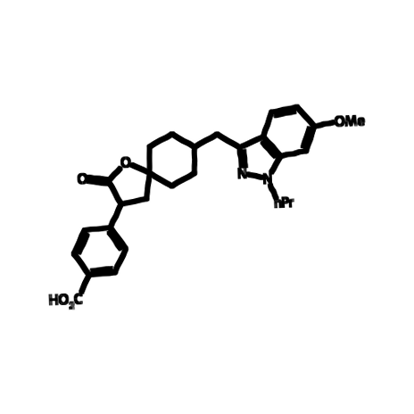 CCCn1nc(CC2CCC3(CC2)CC(c2ccc(C(=O)O)cc2)C(=O)O3)c2ccc(OC)cc21